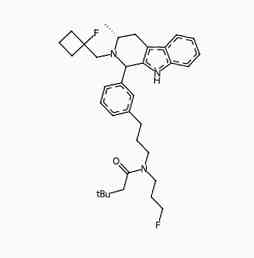 C[C@@H]1Cc2c([nH]c3ccccc23)C(c2cccc(CCCN(CCCF)C(=O)CC(C)(C)C)c2)N1CC1(F)CCC1